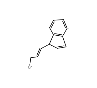 BrCC=CC1C=Cc2[c]cccc21